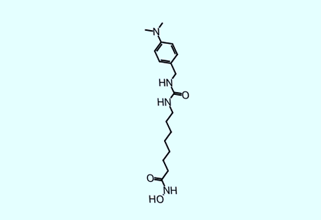 CN(C)c1ccc(CNC(=O)NCCCCCCCC(=O)NO)cc1